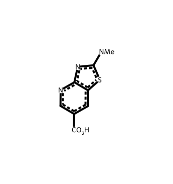 CNc1nc2ncc(C(=O)O)cc2s1